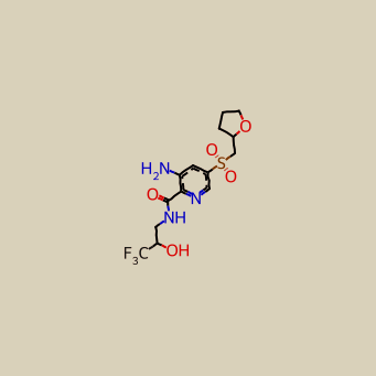 Nc1cc(S(=O)(=O)CC2CCCO2)cnc1C(=O)NCC(O)C(F)(F)F